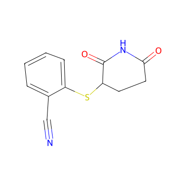 N#Cc1ccccc1SC1CCC(=O)NC1=O